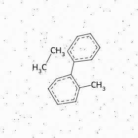 CC.Cc1ccccc1-c1ccccc1